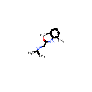 C=C(C)NCC(=O)Nc1c(C)cccc1C